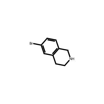 Brc1ccc2c(c1)CCN[C]2